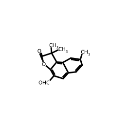 Cc1ccc2cc(C=O)c3c(c2c1)C(C)(C)C(=O)O3